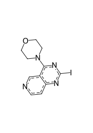 Ic1nc(N2CCOCC2)c2cnccc2n1